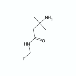 CC(C)(N)CC(=O)NCI